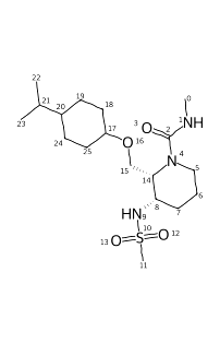 CNC(=O)N1CCC[C@H](NS(C)(=O)=O)[C@@H]1COC1CCC(C(C)C)CC1